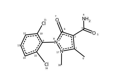 Cc1c(C(N)=O)c(=O)n(-c2c(Cl)cccc2Cl)n1C